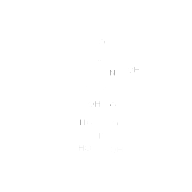 O=C1C2CCCCC2(O)C(=O)N1O.O=P(O)(O)O